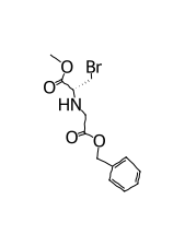 COC(=O)[C@H](CBr)NCC(=O)OCc1ccccc1